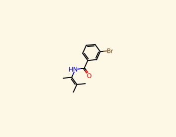 CC(C)=C(C)NC(=O)c1cccc(Br)c1